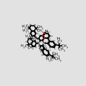 CC(C)(C)c1ccc(N2c3cc(C#N)cc4c3B(c3ccc5c(c3N4c3ccc4c(c3)C(C)(C)CCC4(C)C)C(C)(C)CCC5(C)C)c3sc4ccc(C(C)(C)C)cc4c32)c(-c2ccccc2)c1